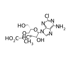 C#C[C@@H](O)[C@@H](O[C@@H](CO)COC(C)C(=O)O)n1cnc2c(N)nc(Cl)nc21